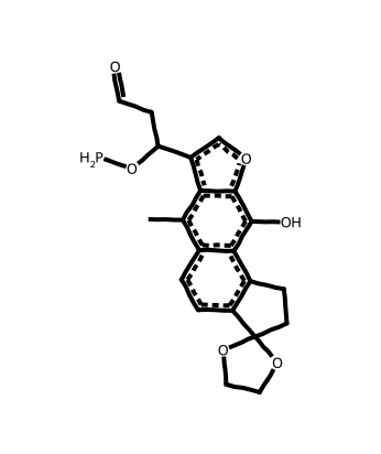 Cc1c2ccc3c(c2c(O)c2occ(C(CC=O)OP)c12)CCC31OCCO1